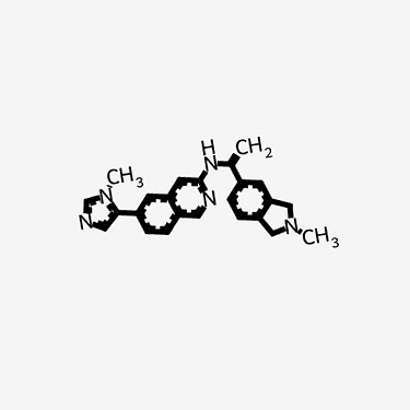 C=C(Nc1cc2cc(-c3cncn3C)ccc2cn1)c1ccc2c(c1)CN(C)C2